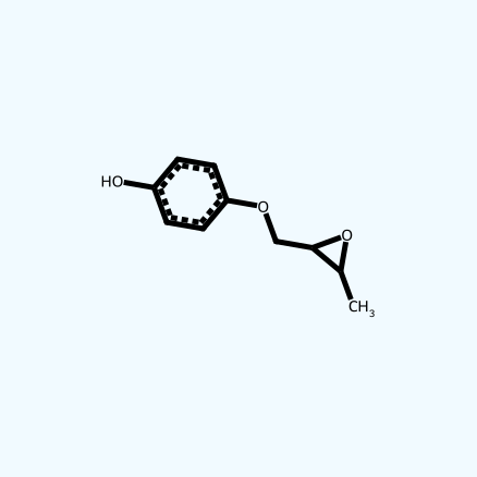 CC1OC1COc1ccc(O)cc1